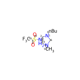 CCCCN1C=CN(C)C1.NS(=O)(=O)C(F)(F)F